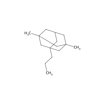 CCCC12CC3CC(C)(CC(C)(C3)C1)C2